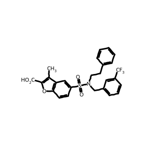 Cc1c(C(=O)O)oc2ccc(S(=O)(=O)N(CCc3ccccc3)Cc3cccc(C(F)(F)F)c3)cc12